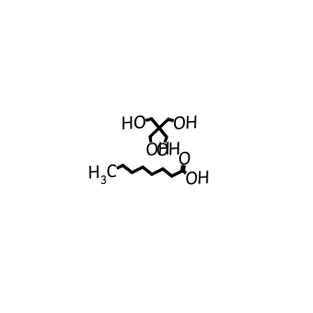 CCCCCCCC(=O)O.OCC(CO)(CO)CO